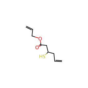 C=CCOC(=O)CC(S)CC=C